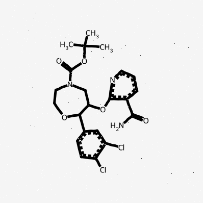 CC(C)(C)OC(=O)N1CCOC(c2ccc(Cl)c(Cl)c2)C(Oc2ncccc2C(N)=O)C1